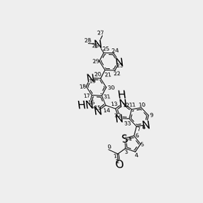 CC(=O)c1ccc(-c2nccc3[nH]c(-c4n[nH]c5cnc(-c6cncc(N(C)C)c6)cc45)nc23)s1